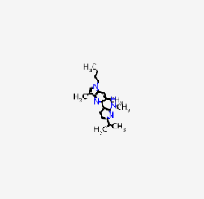 CCCCn1cc(C)c2nc(-c3ccc(C(C)C)nc3NC)c(C)cc21